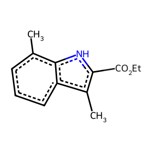 CCOC(=O)c1[nH]c2c(C)cccc2c1C